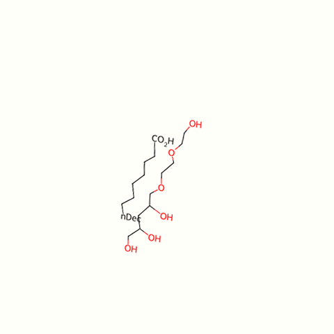 CCCCCCCCCCCCCCCCC(=O)O.OCCOCCOCC(O)CC(O)CO